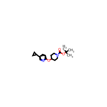 CC(C)(C)OC(=O)N1CCC(Oc2ccc(C3CC3)cn2)CC1